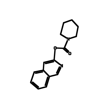 O=C(Oc1cc2ccccc2cn1)N1CCCCC1